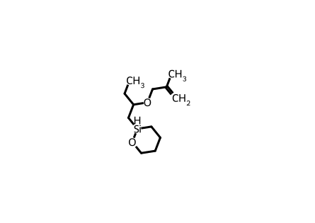 C=C(C)COC(CC)C[SiH]1CCCCO1